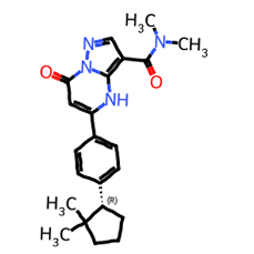 CN(C)C(=O)c1cnn2c(=O)cc(-c3ccc([C@@H]4CCCC4(C)C)cc3)[nH]c12